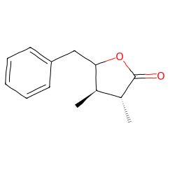 C[C@H]1C(=O)OC(Cc2ccccc2)[C@@H]1C